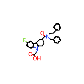 O=C(O)Cn1c2c(c3cc(F)ccc31)CC(C(=O)N(CCc1ccccc1)Cc1ccccc1)CC2